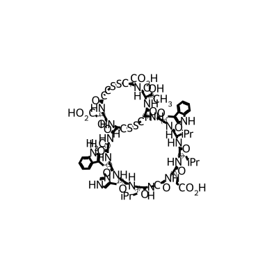 CC(C)C[C@@H]1NC(=O)[C@H](Cc2c[nH]cn2)NC(=O)[C@H](Cc2c[nH]c3ccccc23)NC(=O)[C@H](C)NC(=O)[C@@H]2CSSC[C@H](NC(=O)[C@H](Cc3c[nH]c4ccccc34)NC(=O)C(C(C)C)NC(=O)[C@H](CC(C)C)NC(=O)[C@H](CCC(=O)O)NC(=O)CNC1=O)C(=O)NC([C@@H](C)O)C(=O)N[C@H](C(=O)O)CSSCCC(=O)N[C@@H](CC(=O)O)C(=O)N2